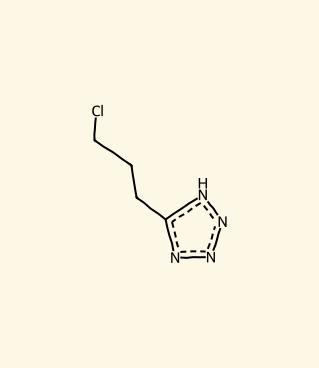 ClCCCc1nnn[nH]1